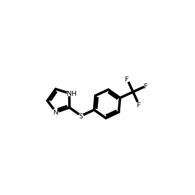 FC(F)(F)c1ccc(Sc2ncc[nH]2)cc1